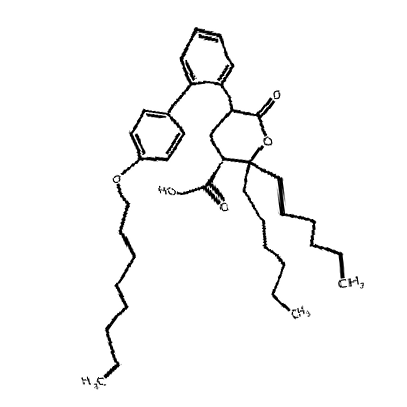 CCCCCCCCOc1ccc(-c2ccccc2C2C[C@H](C(=O)O)C(CCCCCC)(CCCCCC)OC2=O)cc1